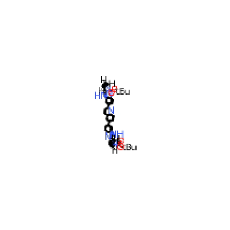 CC(C)(C)OC(=O)N1[C@H](c2nc3ccc(-c4ccc5nc(-c6ccc7nc([C@@H]8C9C%10[C@H]9[C@@H]%10N8C(=O)OC(C)(C)C)[nH]c7c6)ccc5c4)cc3[nH]2)C2C3[C@H]2[C@@H]31